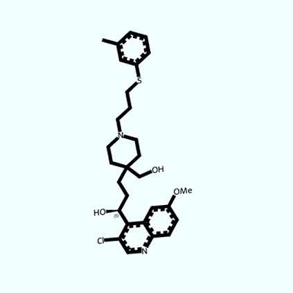 COc1ccc2ncc(Cl)c([C@@H](O)CCC3(CO)CCN(CCCSc4cccc(C)c4)CC3)c2c1